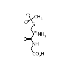 CS(=O)(=O)SC[C@H](N)C(=O)NCC(=O)O